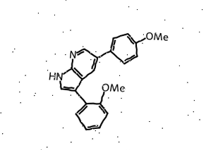 COc1ccc(-c2cnc3[nH]cc(-c4ccccc4OC)c3c2)cc1